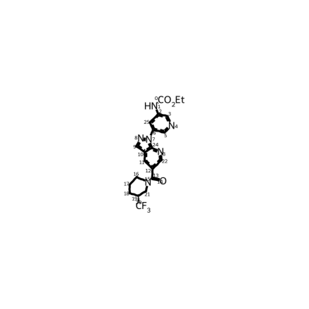 CCOC(=O)Nc1cncc(-n2ncc3cc(C(=O)N4CCC[C@H](C(F)(F)F)C4)cnc32)c1